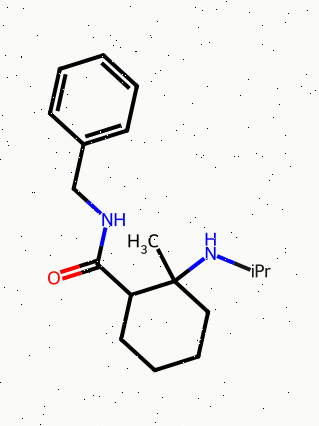 CC(C)NC1(C)CCCCC1C(=O)NCc1ccccc1